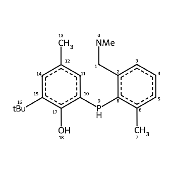 CNCc1cccc(C)c1Pc1cc(C)cc(C(C)(C)C)c1O